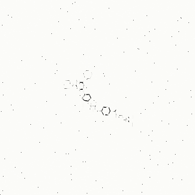 CN(C)CCNC(=O)c1ccc(NC(=O)Nc2ccc(-c3nc(N4CCOCC4)nc(N4CCOCC4)n3)cc2)cc1.Cl